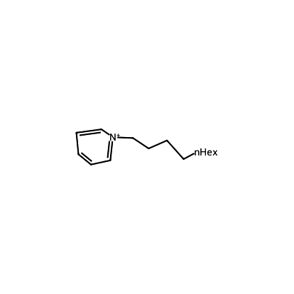 CCCCCCCCCC[n+]1ccccc1